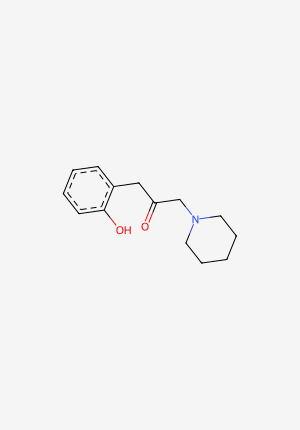 O=C(Cc1ccccc1O)CN1CCCCC1